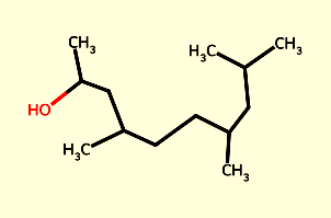 CC(C)CC(C)CCC(C)CC(C)O